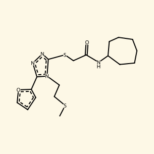 CSCCn1c(SCC(=O)NC2CCCCCC2)nnc1-c1ccco1